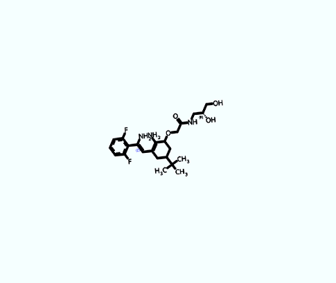 CC(C)(C)C1CC(/C=C(\N)c2c(F)cccc2F)=C(N)C(OCC(=O)NC[C@@H](O)CO)C1